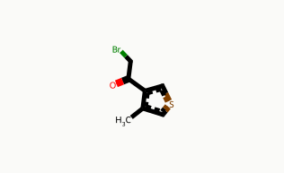 Cc1cscc1C(=O)CBr